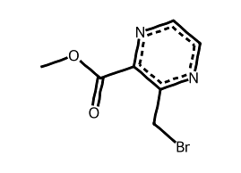 COC(=O)c1nccnc1CBr